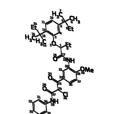 CCC(Oc1cc(C(C)(C)CC)ccc1C(C)(C)CC)C(=O)Nc1cc(C(=O)C(Cl)C(=O)Nc2ccccc2)ccc1OC